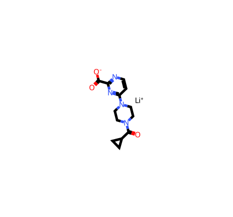 O=C([O-])c1nccc(N2CCN(C(=O)C3CC3)CC2)n1.[Li+]